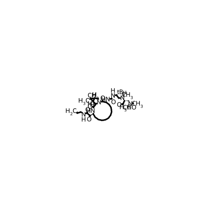 C=CCNC(=O)C(=O)[C@@H]1CCCCCCCCC[C@H](NC(=O)N[C@H](CN(C)[C@H](CN(C)C)C(=O)C=O)C(C)(C)C)C(=O)N2C[C@H]3[C@@H]([C@H]2C(=O)N1)C3(C)C